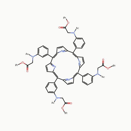 CC(=O)N(CC(=O)OC(C)C)c1cccc(C2=C3C=CC(=N3)C(c3cccc(N(CC(=O)OC(C)C)C(C)=O)c3)=C3C=CC(=N3)C(c3cccc(N(CC(=O)OC(C)C)C(C)=O)c3)=C3C=CC(=N3)C(c3cccc(N(CC(=O)OC(C)C)C(C)=O)c3)=C3C=CC2=N3)c1